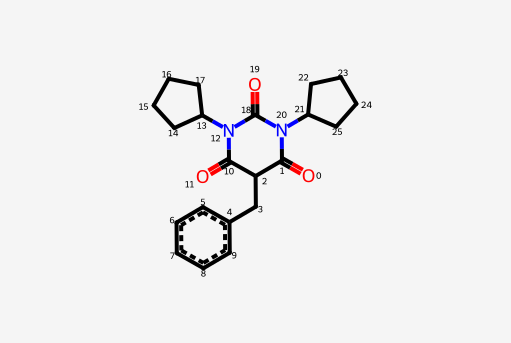 O=C1C(Cc2ccccc2)C(=O)N(C2CCCC2)C(=O)N1C1CCCC1